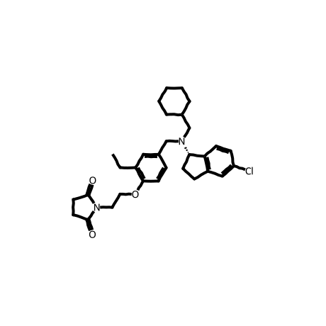 CCc1cc(CN(CC2CCCCC2)[C@H]2CCc3cc(Cl)ccc32)ccc1OCCN1C(=O)CCC1=O